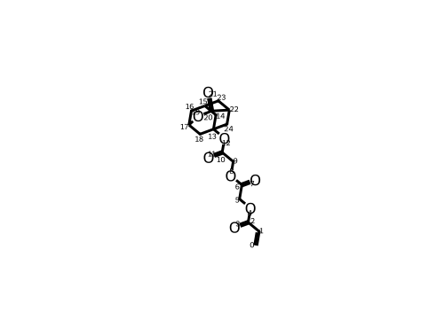 C=CC(=O)OCC(=O)OCC(=O)OC12CC3CC(C1)OC(=O)C(C3)C2